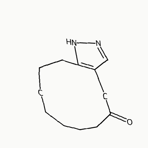 O=C1CCCCCCCc2[nH]ncc2C1